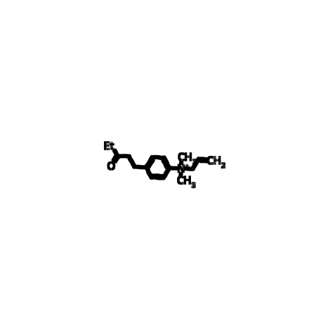 C=CC[N+](C)(C)c1ccc(CCC(=O)CC)cc1